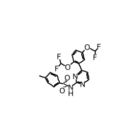 Cc1ccc(S(=O)(=O)Nc2nccc(-c3cc(OC(F)F)ccc3OC(F)F)n2)cc1